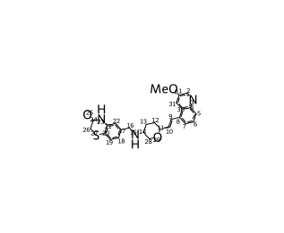 COc1cnc2cccc(/C=C/[C@@H]3CC[C@@H](NCc4ccc5c(c4)NC(=O)CS5)CO3)c2c1